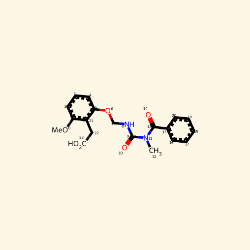 COc1cccc(OCNC(=O)N(C)C(=O)c2ccccc2)c1CC(=O)O